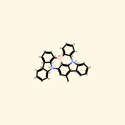 Cc1cc2c3c4c1c1ccccc1n4-c1ccccc1B3c1cccc3c4ccccc4n-2c13